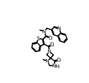 CN(Cc1cnc2ccccc2c1)C(=O)c1sc2ccccc2c1C(=O)N1CC2(C1)C(=O)NCN2C